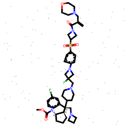 C=C(CN1CCOCC1)C(=O)N1CC(S(=O)(=O)c2ccc(N3CC(F)(CN4CCC([C@@](CN5CCC5)(c5cccc(F)c5)[C@H]5CCC[C@@H]5NC(=O)OC)CC4)C3)cc2)C1